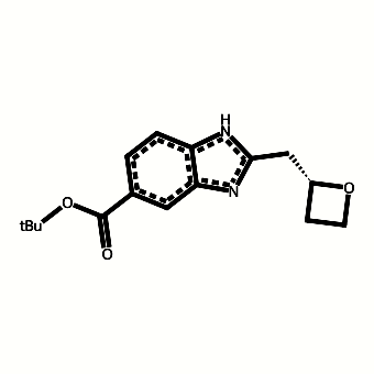 CC(C)(C)OC(=O)c1ccc2[nH]c(C[C@H]3CCO3)nc2c1